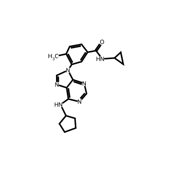 Cc1ccc(C(=O)NC2CC2)cc1-n1cnc2c(NC3CCCC3)ncnc21